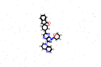 O=C1c2ccccc2CC12CCC(c1cnc3c(N4CCCc5ncccc54)nn(C4CCCCO4)c3n1)CC2